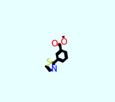 COC(=O)c1cccc(-c2nccs2)c1